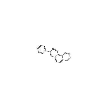 c1ccc(-c2cc3ccc4ccncc4c3cn2)cc1